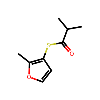 Cc1occc1SC(=O)C(C)C